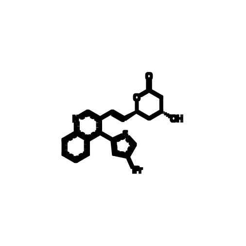 CC(C)c1csc(-c2c(C=C[C@@H]3C[C@@H](O)CC(=O)O3)cnc3ccccc23)c1